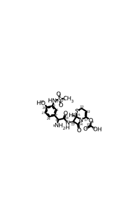 CS(=O)(=O)Nc1cc(C(N)C(=O)N[C@@H]2C(=O)N3C(OC(=O)O)=CCS[C@@H]23)ccc1O